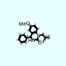 COc1ccc2c(c1)C(c1ccccc1)NC(=O)N2CC(F)F